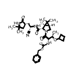 C[C@@H](OC1CCC1)[C@H](NC(=O)OCc1ccccc1)C(=O)N1C[C@H]2[C@@H]([C@H]1C(=O)N[C@H](C#N)C[C@@H]1CC(C)(C)NC1=O)C2(C)C